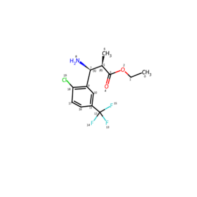 CCOC(=O)[C@H](C)[C@H](N)c1cc(C(F)(F)F)ccc1Cl